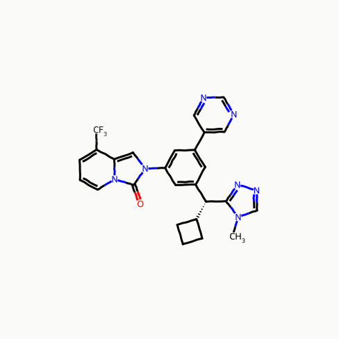 Cn1cnnc1[C@@H](c1cc(-c2cncnc2)cc(-n2cc3c(C(F)(F)F)cccn3c2=O)c1)C1CCC1